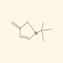 C=C1C=CN(C(C)(C)C)C1